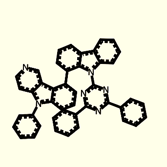 c1ccc(-c2nc(-c3ccccc3)nc(-n3c4ccccc4c4cccc(-c5cccc6c5c5cnccc5n6-c5ccccc5)c43)n2)cc1